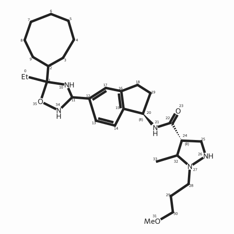 CCC1(C2CCCCCCC2)NC(c2ccc3c(c2)CC[C@H]3NC(=O)[C@@H]2CNN(CCCOC)C2C)NO1